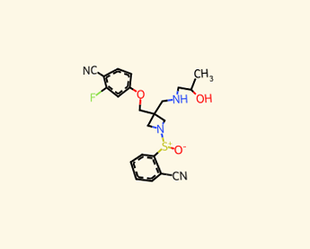 CC(O)CNCC1(COc2ccc(C#N)c(F)c2)CN([S+]([O-])c2ccccc2C#N)C1